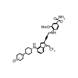 COc1cc(S(N)(=O)=O)ccc1NCC#Cc1cc2c(N[C@H]3CC[C@H](N4CC[S+]([O-])CC4)CC3)cccc2n1CC(F)(F)F